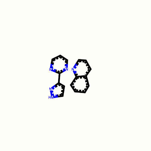 c1ccc2ncccc2c1.c1cnc(-c2cc[nH]n2)nc1